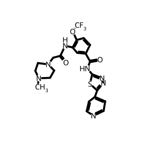 CN1CCN(CC(=O)Nc2cc(C(=O)Nc3nnc(-c4ccncc4)s3)ccc2OC(F)(F)F)CC1